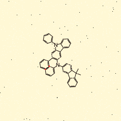 CC1(C)c2ccccc2-c2cc(N(c3ccccc3)c3cc4c5ccccc5n(-c5ccccc5)c4cc3-c3ccccc3)ccc21